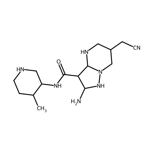 CC1CCNCC1NC(=O)C1C(N)NN2CC(CC#N)CNC12